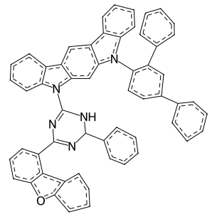 c1ccc(-c2ccc(-n3c4ccccc4c4cc5c6ccccc6n(C6=NC(c7cccc8oc9ccccc9c78)=NC(c7ccccc7)N6)c5cc43)c(-c3ccccc3)c2)cc1